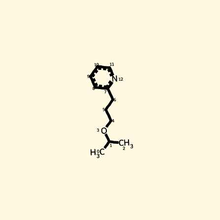 CC(C)OCCCc1ccccn1